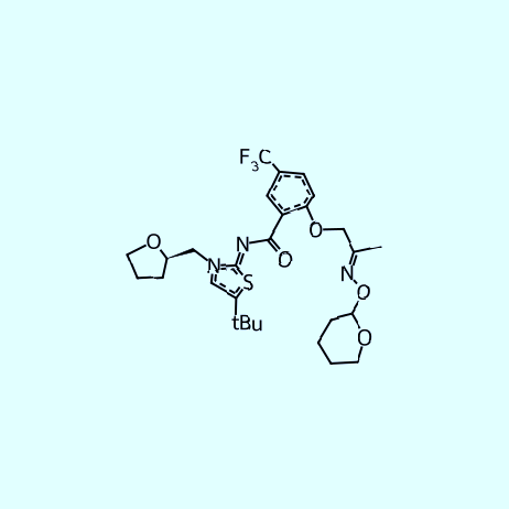 CC(COc1ccc(C(F)(F)F)cc1C(=O)/N=c1\sc(C(C)(C)C)cn1C[C@H]1CCCO1)=NOC1CCCCO1